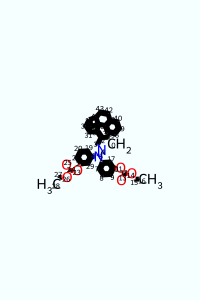 C=C/C(C=NN(c1cccc(OC(=O)OCC)c1)c1cccc(OC(=O)OCC)c1)=C1/C=CC2CC13c1ccccc1C=CC23